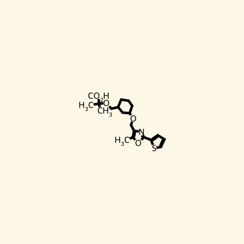 Cc1oc(-c2cccs2)nc1COC1CCCC(COC(C)(C)C(=O)O)C1